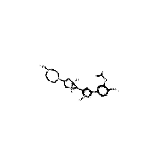 CC(C)n1nc(-c2cnc(N)c(OC(F)F)c2)cc1C1[C@H]2CC(N3CCCN(C)CC3)C[C@@H]12